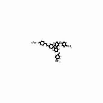 CCCCCC1CCC(CCC2CCC(c3ccc(Oc4ccc(N)cc4)cc3)(c3ccc(Oc4ccc(N)cc4)cc3)CC2)CC1